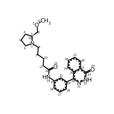 COC[C@@H]1CCCN1CCCCC(=O)Nc1cccc(-c2n[nH]c(=O)c3ccccc23)c1